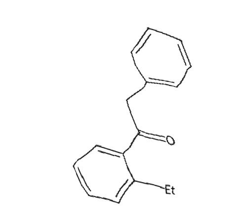 CCc1ccccc1C(=O)Cc1ccccc1